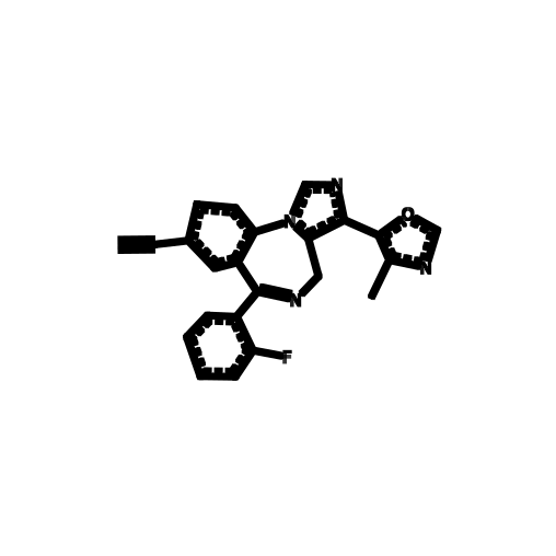 C#Cc1ccc2c(c1)C(c1ccccc1F)=NCc1c(-c3ocnc3C)ncn1-2